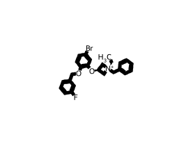 CC[N@+]1(Cc2ccccc2)C[C@@H](Oc2cc(Br)ccc2OCc2cccc(F)c2)C1